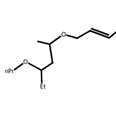 C/C=C/COC(C)CC(CC)OCCC